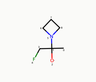 CC([O])(CF)N1CCC1